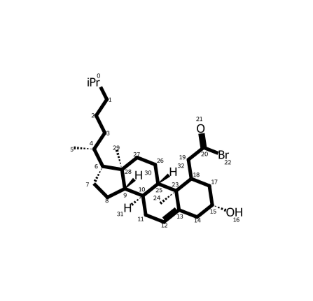 CC(C)CCC[C@@H](C)[C@H]1CC[C@H]2[C@@H]3CC=C4C[C@@H](O)CC(CC(=O)Br)[C@]4(C)[C@H]3CC[C@]12C